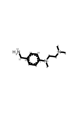 CN(C)CCN(C)c1ccc(CN)cc1